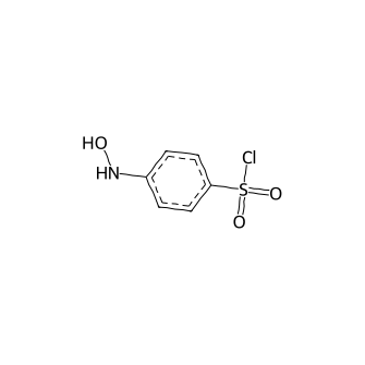 O=S(=O)(Cl)c1ccc(NO)cc1